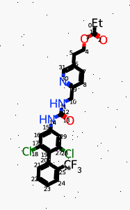 CCC(=O)OCCc1ccc(CNC(=O)Nc2cc(Cl)c(-c3ccccc3C(F)(F)F)c(Cl)c2)nc1